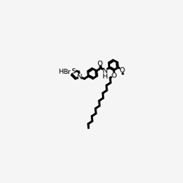 Br.CCCCCCCCCCCCCCOc1c(NC(=O)c2ccc(CN3C=CSC3)cc2)cccc1OC